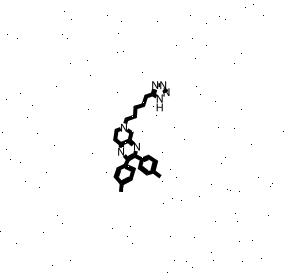 Cc1ccc(-c2nc3c(nc2-c2ccc(C)cc2)CN(CCCCCc2nnn[nH]2)CC3)cc1